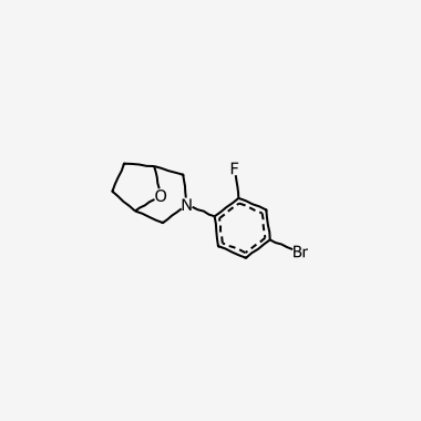 Fc1cc(Br)ccc1N1CC2CCC(C1)O2